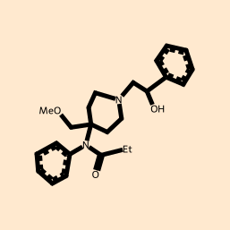 CCC(=O)N(c1ccccc1)C1(COC)CCN(CC(O)c2ccccc2)CC1